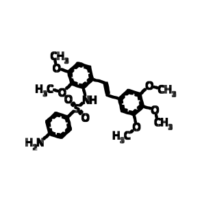 COc1cc(C=Cc2ccc(OC)c(OC)c2NS(=O)(=O)c2ccc(N)cc2)cc(OC)c1OC